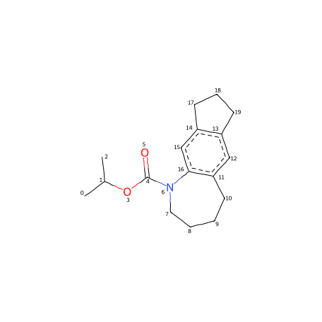 CC(C)OC(=O)N1CCCCc2cc3c(cc21)CCC3